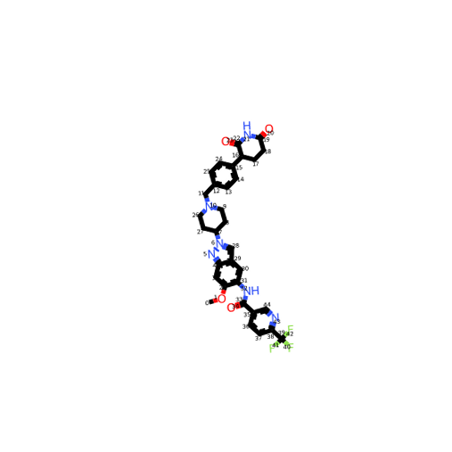 COc1cc2nn(C3CCN(Cc4ccc(C5CCC(=O)NC5=O)cc4)CC3)cc2cc1NC(=O)c1ccc(C(F)(F)F)nc1